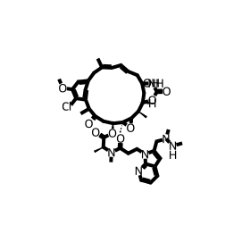 CNN(C)Cc1cc2cccnc2n1CCC(=O)N(C)[C@@H](C)C(=O)O[C@H]1CC(=O)C(C)c2cc(cc(OC)c2Cl)C/C(C)=C/C=C/C[C@@]2(O)C[C@H](OC(=O)N2)[C@@H](C)C2O[C@]21C